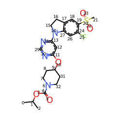 CC(C)OC(=O)N1CCC(Oc2cc(N3CCc4cc(S(C)(=O)=O)c(F)cc43)ncn2)CC1